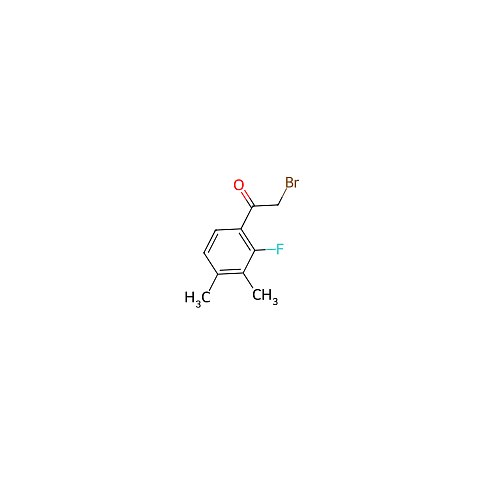 Cc1ccc(C(=O)CBr)c(F)c1C